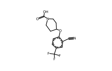 N#Cc1cc(C(F)(F)F)ccc1OC1CCN(C(=O)O)CC1